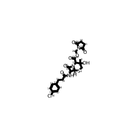 CC1(O)CS[C@@H]2C(NC(=O)CCc3ccc(Cl)cc3)C(=O)N2C1C(=O)OCN1C(=O)CCC1=O